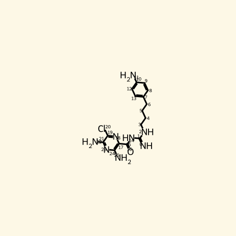 N=C(NCCCCc1ccc(N)cc1)NC(=O)c1nc(Cl)c(N)nc1N